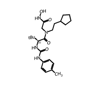 Cc1ccc(NC(=O)N[C@H](C(=O)N(CCC2CCCC2)CC(=O)NO)C(C)(C)C)cc1